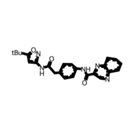 CC(C)(C)c1cc(NC(=O)Cc2ccc(NC(=O)c3cnc4ccccc4n3)cc2)no1